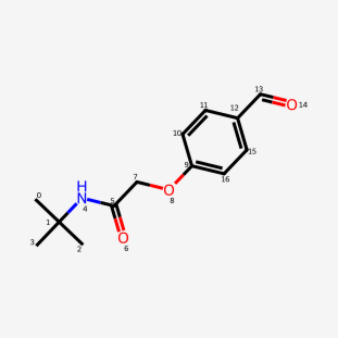 CC(C)(C)NC(=O)COc1ccc(C=O)cc1